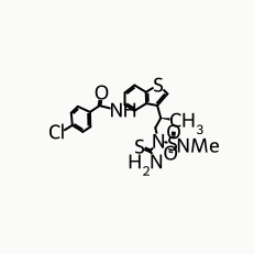 CNS(=O)(=O)N(C[C@H](C)c1csc2ccc(NC(=O)c3ccc(Cl)cc3)cc12)C(N)=S